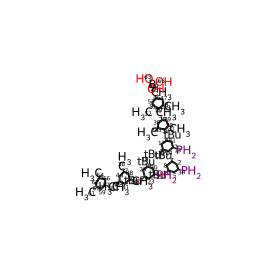 CC(C)(C)c1cc(P)cc(C(C)(C)C)c1.CC(C)(C)c1cc(P)cc(C(C)(C)C)c1.CC(C)(C)c1cc(P)cc(C(C)(C)C)c1.Cc1cc(C)cc(C)c1.Cc1cc(C)cc(C)c1.Cc1cc(C)cc(C)c1.Cc1cc(C)cc(C)c1.OB(O)O